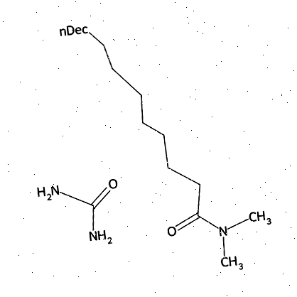 CCCCCCCCCCCCCCCCCC(=O)N(C)C.NC(N)=O